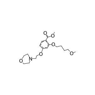 COCCCCOc1cc(OCCN2CCOCC2)ccc1C(=O)OC